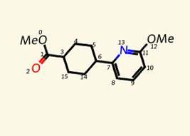 COC(=O)C1CCC(c2cccc(OC)n2)CC1